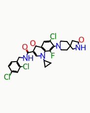 O=C1CC2(CCN(c3c(Cl)cc4c(=O)c(C(=O)NCc5ccc(Cl)cc5Cl)cn(C5CC5)c4c3F)CC2)CN1